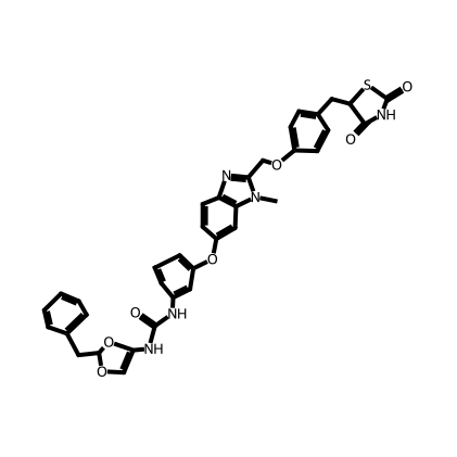 Cn1c(COc2ccc(CC3SC(=O)NC3=O)cc2)nc2ccc(Oc3cccc(NC(=O)NC4=COC(Cc5ccccc5)O4)c3)cc21